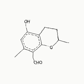 Cc1cc(O)c2c(c1C=O)OC(C)CC2